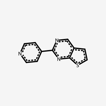 c1cc(-c2ncc3ccsc3n2)ccn1